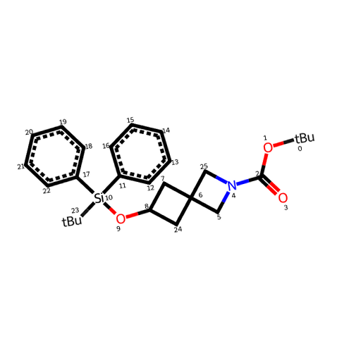 CC(C)(C)OC(=O)N1CC2(CC(O[Si](c3ccccc3)(c3ccccc3)C(C)(C)C)C2)C1